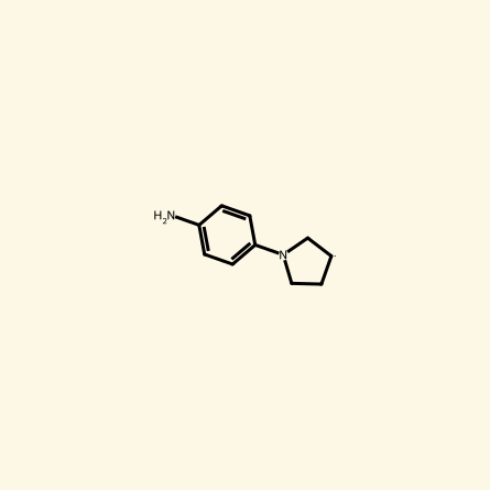 Nc1ccc(N2C[CH]CC2)cc1